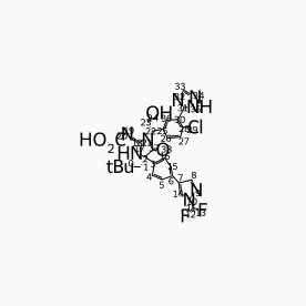 CC(C)(C)C[C@]1(c2ccc(-c3cnn(C(F)F)c3)cc2)N/C(=N\C(=O)O)N([C@H](CO)c2ccc(Cl)c(-c3ncn[nH]3)c2)C1=O